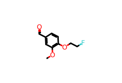 COc1cc(C=O)ccc1OCCF